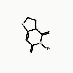 CC(C)N1C(=S)C=C2SCCC2C1=S